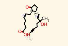 CC#CCCC(C)(O)/C=C/[C@H]1CCC(=O)[C@@H]1C/C=C\CCCC(=O)O